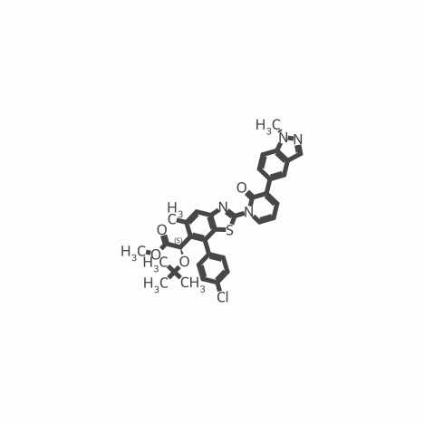 COC(=O)[C@@H](OC(C)(C)C)c1c(C)cc2nc(-n3cccc(-c4ccc5c(cnn5C)c4)c3=O)sc2c1-c1ccc(Cl)cc1